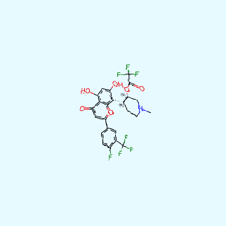 CN1CC[C@H](c2c(O)cc(O)c3c(=O)cc(-c4ccc(F)c(C(F)(F)F)c4)oc23)[C@H](OC(=O)C(F)(F)F)C1